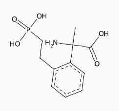 CC(N)(C(=O)O)c1ccccc1CCP(=O)(O)O